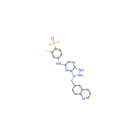 CP(C)(=O)c1ccc(Nc2cnc3c(n2)N(Cc2ccc4ncccc4c2)NN3)cc1F